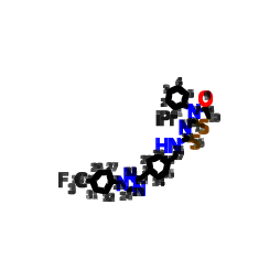 CC(C)c1ccccc1N1C(=O)CS/C1=N\C(=S)NCc1ccc(-c2ncn(-c3ccc(C(F)(F)F)cc3)n2)cc1